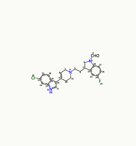 O=CN1CC(CCN2CC=C(c3c[nH]c4cc(Cl)ccc34)CC2)c2cc(F)ccc21